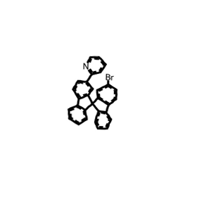 Brc1ccc2c(c1)C1(c3ccccc3-2)c2ccccc2-c2ccc(-c3ccccn3)cc21